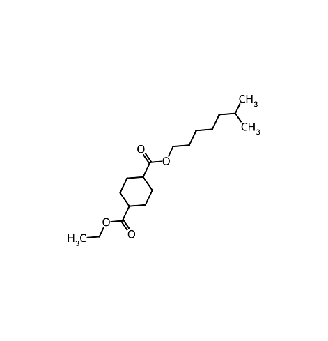 CCOC(=O)C1CCC(C(=O)OCCCCCC(C)C)CC1